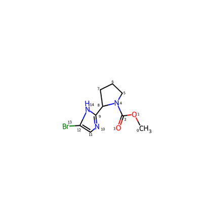 COC(=O)N1CCCC1c1ncc(Br)[nH]1